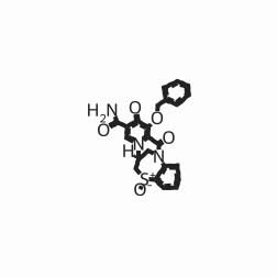 NC(=O)c1cn2c(c(OCc3ccccc3)c1=O)C(=O)N1C[C@@H]2C[S+]([O-])c2ccccc21